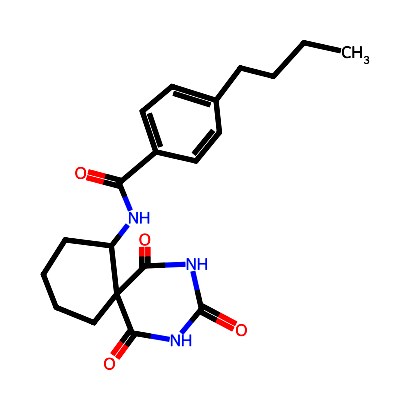 CCCCc1ccc(C(=O)NC2CCCCC23C(=O)NC(=O)NC3=O)cc1